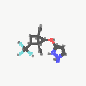 FC(F)(F)[C@H]1C[C@@H]2C(Oc3cc[nH]n3)[C@H]21